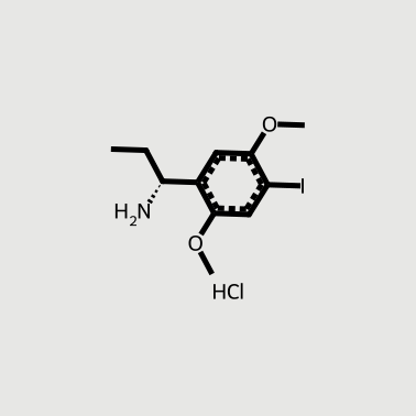 CC[C@@H](N)c1cc(OC)c(I)cc1OC.Cl